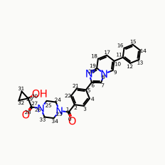 O=C(c1ccc(-c2cn3cc(-c4ccccc4)ccc3n2)cc1)N1CCN(C(=O)C2(O)CC2)CC1